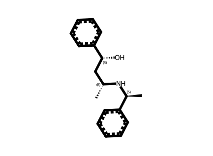 C[C@H](C[C@@H](O)c1ccccc1)N[C@@H](C)c1ccccc1